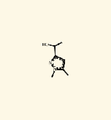 Cc1cc(C(C)O)nn1C